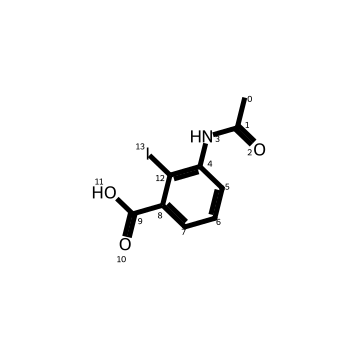 CC(=O)Nc1cccc(C(=O)O)c1I